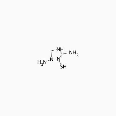 NC1NCN(N)N1S